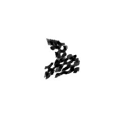 Cc1c[nH]c(C)c1-c1ncc(NC(=O)[C@@H](NC(=O)c2nonc2C(C)C)C2c3cc(F)cc(F)c3OCC23CC3)cc1F